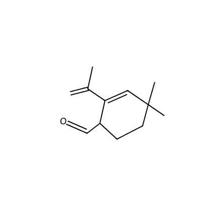 C=C(C)C1=CC(C)(C)CCC1C=O